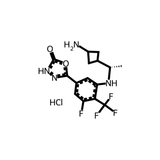 C[C@H](Nc1cc(-c2n[nH]c(=O)o2)cc(F)c1C(F)(F)F)C1CC(N)C1.Cl